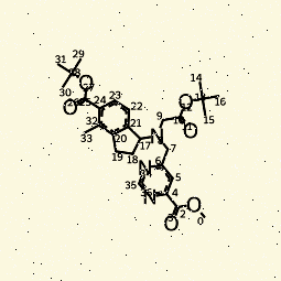 COC(=O)c1cc(CN(CC(=O)OC(C)(C)C)C2CCc3c2ccc(C(=O)OC(C)(C)C)c3C)ncn1